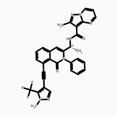 C[C@@H](NC(=O)c1c(N)nn2cccnc12)c1cc2cccc(C#Cc3cnn(C)c3C(F)(F)F)c2c(=O)n1-c1ccccc1